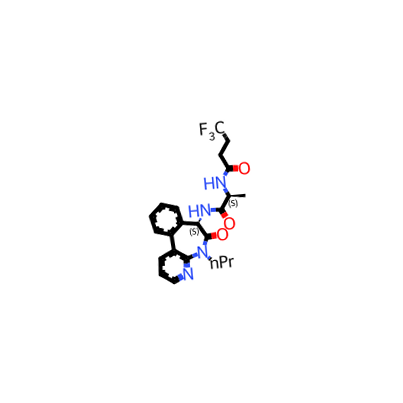 CCCN1C(=O)[C@@H](NC(=O)[C@H](C)NC(=O)CCC(F)(F)F)c2ccccc2-c2cccnc21